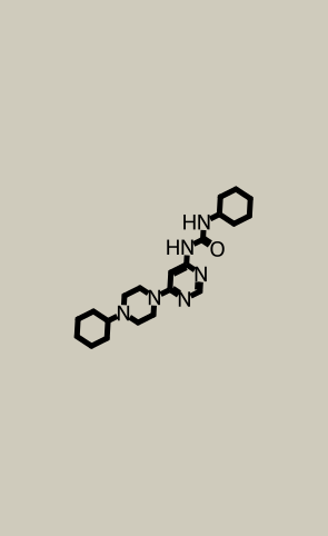 O=C(Nc1cc(N2CCN(C3CCCCC3)CC2)ncn1)NC1CCCCC1